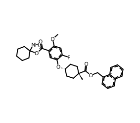 COc1cc(F)c(O[C@H]2CC[C@@](C)(C(=O)OCc3cccc4ccccc34)CC2)cc1C(=O)OC1(N)CCCCC1